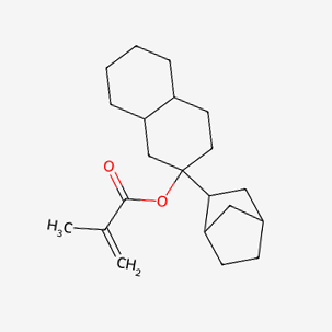 C=C(C)C(=O)OC1(C2CC3CCC2C3)CCC2CCCCC2C1